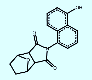 O=C1C2C3CCC(O3)C2C(=O)N1c1cccc2c(O)cccc12